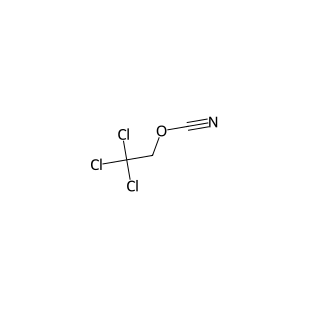 N#COCC(Cl)(Cl)Cl